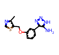 Cc1ncsc1COc1cccc(-c2nn[nH]c2N)c1